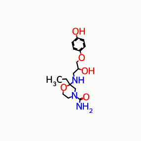 CCC1(NCC(O)COc2ccc(O)cc2)CN(C(N)=O)CCO1